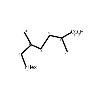 CCCCCCCC(C)CCC(C)C(=O)O